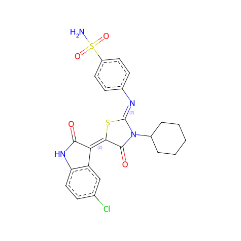 NS(=O)(=O)c1ccc(/N=C2\S/C(=C3\C(=O)Nc4ccc(Cl)cc43)C(=O)N2C2CCCCC2)cc1